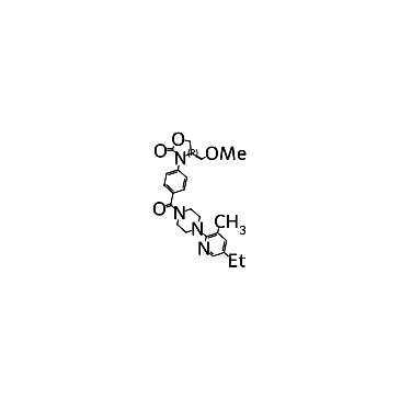 CCc1cnc(N2CCN(C(=O)c3ccc(N4C(=O)OC[C@H]4COC)cc3)CC2)c(C)c1